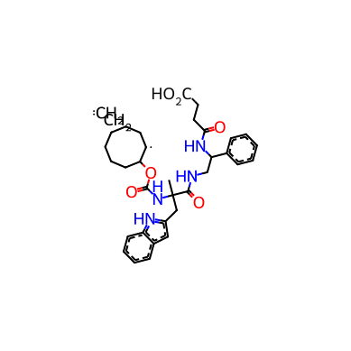 CC(Cc1cc2ccccc2[nH]1)(NC(=O)OC1[CH]CCCCCC1)C(=O)NCC(NC(=O)CCC(=O)O)c1ccccc1.[CH2].[CH2]